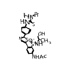 CC(=O)Nc1ccc(-c2cnc(-c3ccc(NC(=S)NC(C)C)cc3)s2)c([S+]([O-])NC(C)CO)c1